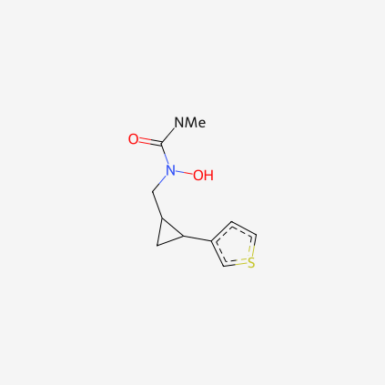 CNC(=O)N(O)CC1CC1c1ccsc1